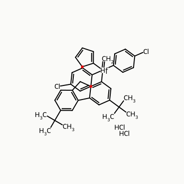 Cl.Cl.[CH2]=[Hf]([C]1=CC=CC1)([c]1ccc(Cl)cc1)([c]1ccc(Cl)cc1)[c]1cc(C(C)(C)C)cc2c1Cc1ccc(C(C)(C)C)cc1-2